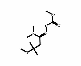 CNC(=O)ON=C(CC(C)(C)SC)N(C)C